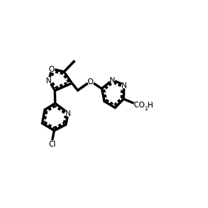 Cc1onc(-c2ccc(Cl)cn2)c1COc1ccc(C(=O)O)nn1